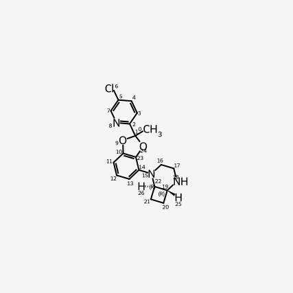 CC1(c2ccc(Cl)cn2)Oc2cccc(N3CCN[C@@H]4CC[C@H]43)c2O1